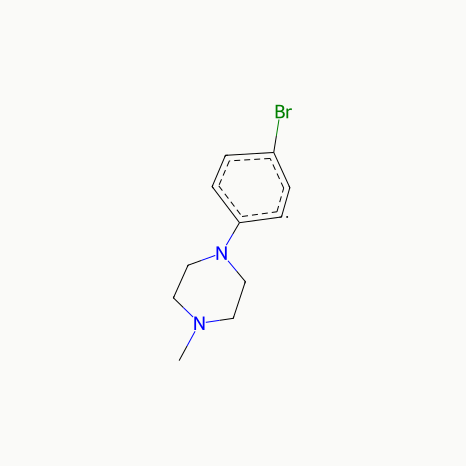 CN1CCN(c2[c]cc(Br)cc2)CC1